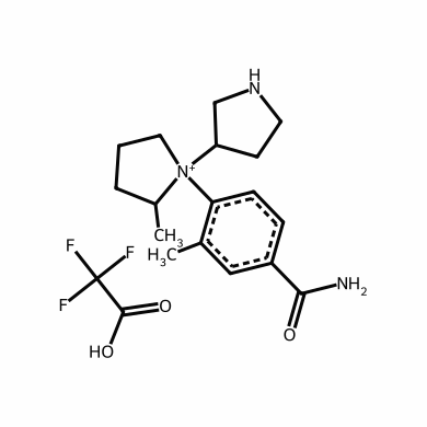 Cc1cc(C(N)=O)ccc1[N+]1(C2CCNC2)CCCC1C.O=C(O)C(F)(F)F